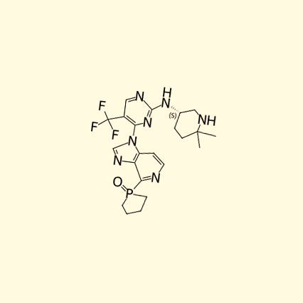 CC1(C)CC[C@H](Nc2ncc(C(F)(F)F)c(-n3cnc4c(P5(=O)CCCC5)nccc43)n2)CN1